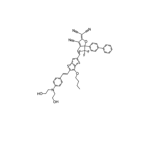 CCCCOc1c(/C=C/c2ccc(N(CCO)CCO)cc2)sc2cc(/C=C/C3=C(C#N)C(=C(C#N)C#N)OC3(c3ccc(-c4ccccc4)cc3)C(F)(F)F)sc12